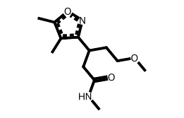 CNC(=O)CC(CCOC)c1noc(C)c1C